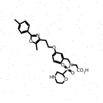 Cc1ccc(-c2nc(CCOc3cccc(CN(CC(=O)O)S(=O)(=O)C4CNCCO4)c3)c(C)o2)cc1